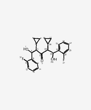 O=C(C(C1CC1)C(O)c1ccccc1F)C(C1CC1)C(O)c1ccccc1F